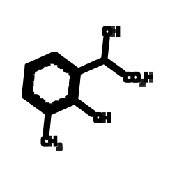 Cc1cccc(C(O)C(=O)O)c1O